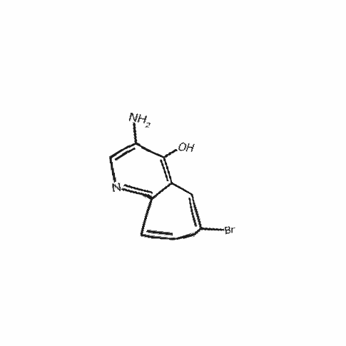 Nc1cnc2ccc(Br)cc2c1O